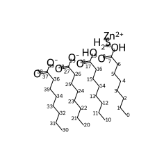 CCCCCCCC(=O)O.CCCCCCCC(=O)O.CCCCCCCC(=O)[O-].CCCCCCCC(=O)[O-].S.[Zn+2]